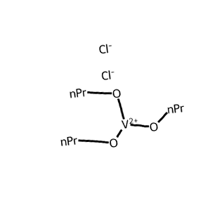 CCC[O][V+2]([O]CCC)[O]CCC.[Cl-].[Cl-]